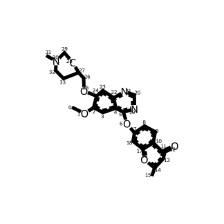 COc1cc2c(Oc3ccc4c(=O)cc(C)oc4c3)ncnc2cc1OCC1CCN(C)CC1